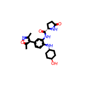 Cc1noc(C)c1-c1ccc(N[C@H]2CC[C@H](O)CC2)c(NC(=O)[C@@H]2CCC(=O)N2)c1